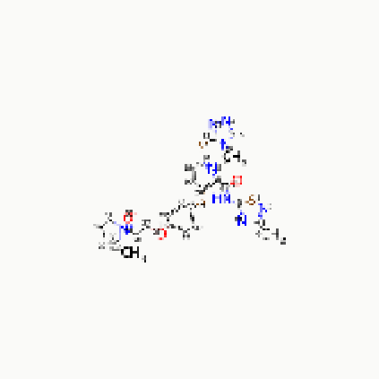 Cc1nsc(NC(=O)c2nc(Sc3nncn3C)ccc2Sc2ccc(OCC[N+]3([O-])CCC[C@H]3C)cc2)n1